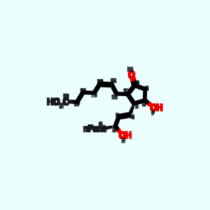 CCCCC[C@@H](O)/C=C/[C@H]1C(O)CC(=O)C1C/C=C\CCCC(=O)O